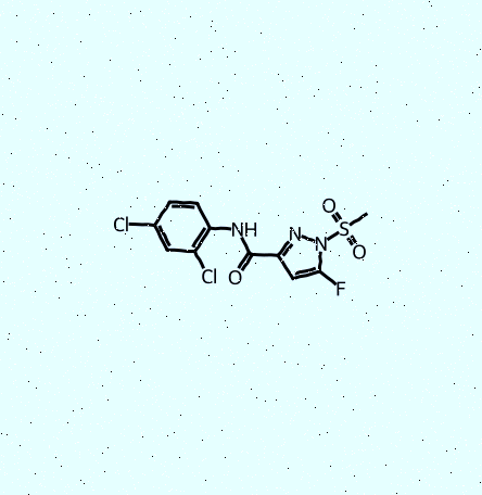 CS(=O)(=O)n1nc(C(=O)Nc2ccc(Cl)cc2Cl)cc1F